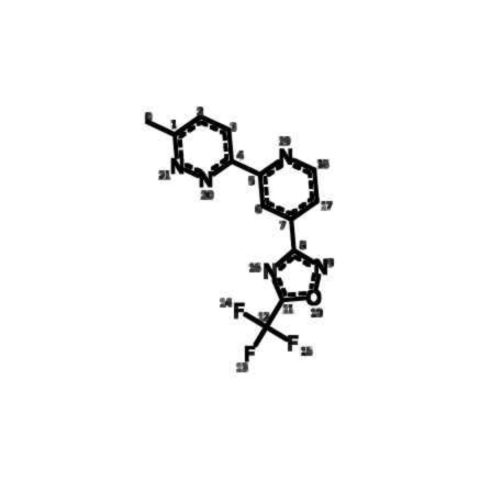 Cc1ccc(-c2cc(-c3noc(C(F)(F)F)n3)ccn2)nn1